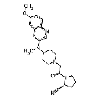 COc1ccc2ncc(N(C)C3CCN(CC(=O)N4CCC[C@H]4C#N)CC3)cc2c1